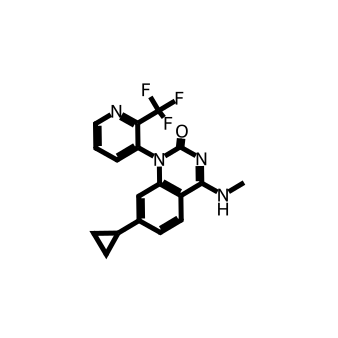 CNc1nc(=O)n(-c2cccnc2C(F)(F)F)c2cc(C3CC3)ccc12